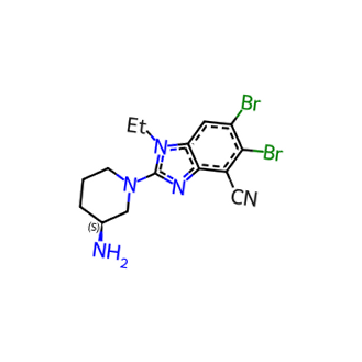 CCn1c(N2CCC[C@H](N)C2)nc2c(C#N)c(Br)c(Br)cc21